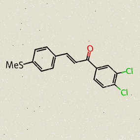 CSc1ccc(/C=C/C(=O)c2ccc(Cl)c(Cl)c2)cc1